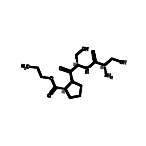 CCCOC(=O)[C@@H]1CCCN1C(=O)[C@H](CO)NC(=O)[C@@H](N)CO